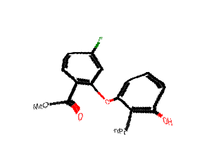 CCCc1c(O)cccc1Oc1cc(F)ccc1C(=O)OC